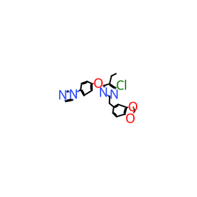 CCc1c(Cl)nc(Cc2ccc3c(c2)OCO3)nc1Oc1ccc(-n2ccnc2)cc1